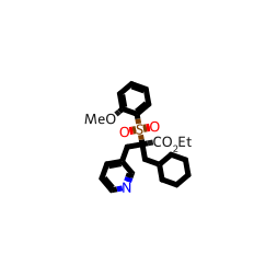 CCOC(=O)C(Cc1cccnc1)(CC1CCCCC1)S(=O)(=O)c1ccccc1OC